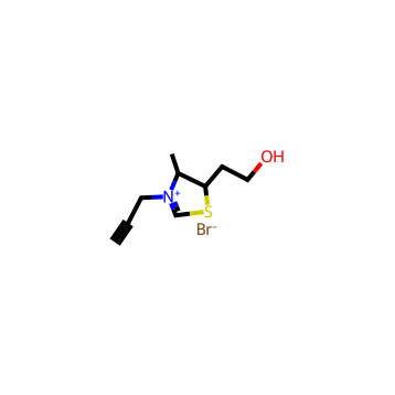 C#CC[N+]1=CSC(CCO)C1C.[Br-]